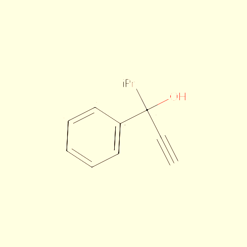 C#CC(O)(c1ccccc1)C(C)C